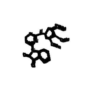 COc1cc(Nc2nccc(N3C(=O)C(=O)c4ccccc43)n2)cc(OC)c1OC